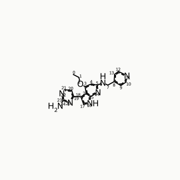 CCOc1cc(NCc2ccncc2)nc2[nH]cc(-c3ccnc(N)n3)c12